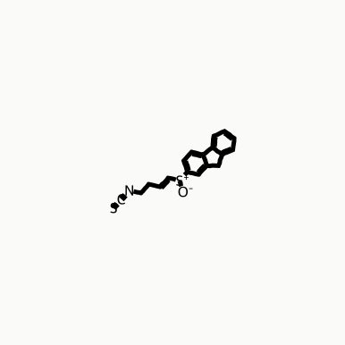 [O-][S+](C=CCCN=C=S)c1ccc2c(c1)Cc1ccccc1-2